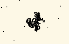 C=NN(/C(CC)=C(\N)C(=O)N(CC(C)C)[C@H]1C[C@@H](C(=O)N2CCOCC2)CN(C(=O)OC(C)(C)C)C1)c1ccccc1F